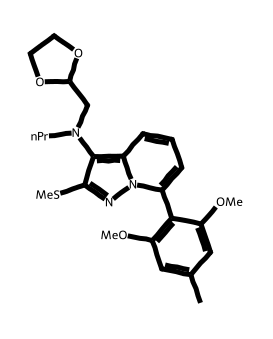 CCCN(CC1OCCO1)c1c(SC)nn2c(-c3c(OC)cc(C)cc3OC)cccc12